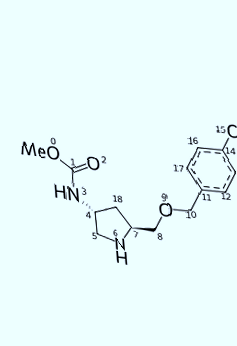 COC(=O)N[C@H]1CN[C@H](COCc2ccc(Cl)cc2)C1